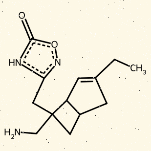 CCC1=CC2C(C1)CC2(CN)Cc1noc(=O)[nH]1